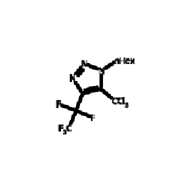 CCCCCCn1nnc(C(F)(F)C(F)(F)F)c1C(Cl)(Cl)Cl